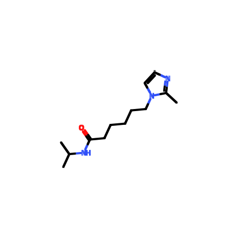 Cc1n[c]cn1CCCCCC(=O)NC(C)C